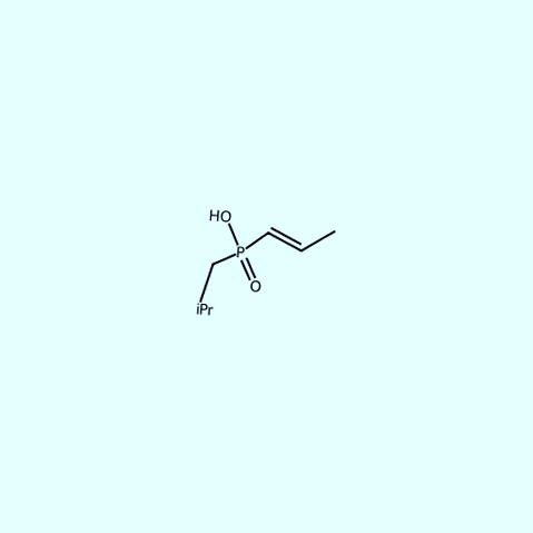 CC=CP(=O)(O)CC(C)C